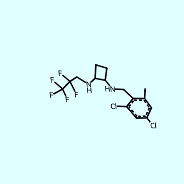 Cc1cc(Cl)cc(Cl)c1CNC1CCC1NCC(F)(F)C(F)(F)F